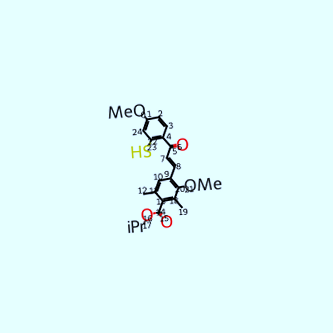 COc1ccc(C(=O)C=Cc2cc(C)c(C(=O)OC(C)C)c(C)c2OC)c(S)c1